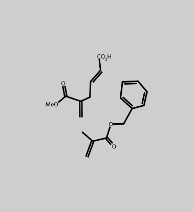 C=C(C)C(=O)OCc1ccccc1.C=C(CC=CC(=O)O)C(=O)OC